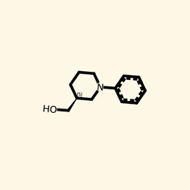 OC[C@H]1CCCN(c2ccccc2)C1